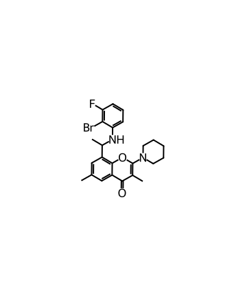 Cc1cc(C(C)Nc2cccc(F)c2Br)c2oc(N3CCCCC3)c(C)c(=O)c2c1